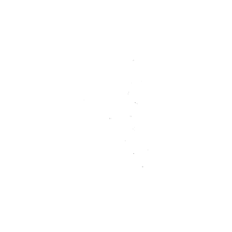 CC(C)(O)C=Cc1nc(C(F)(F)F)c(C=O)o1